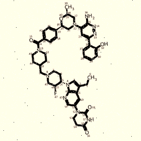 CCc1cn([C@H]2CCN(CC3CCN(C(=O)c4ccc([C@@H]5CN(c6cc(-c7ccccc7O)nnc6N)C[C@H](C)O5)cc4)CC3)C[C@@H]2F)c2ncc(N3CCC(=O)NC3=O)cc12